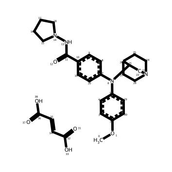 COc1ccc(N(c2ccc(C(=O)NN3CCCC3)cc2)C2CN3CCC2CC3)cc1.O=C(O)/C=C/C(=O)O